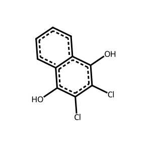 Oc1c(Cl)c(Cl)c(O)c2ccccc12